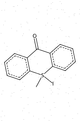 CS1(I)c2ccccc2C(=O)c2ccccc21